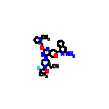 C=C(F)C(=O)N1CCN(c2nc(OC[C@@H]3CCCN3C)nc3c2COC(c2nc(N)cc4ccccc24)C3)C[C@H]1CC#N